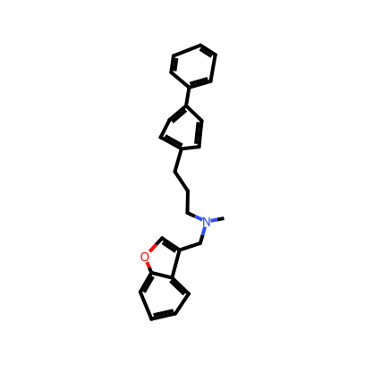 CN(CCCc1ccc(-c2ccccc2)cc1)Cc1coc2ccccc12